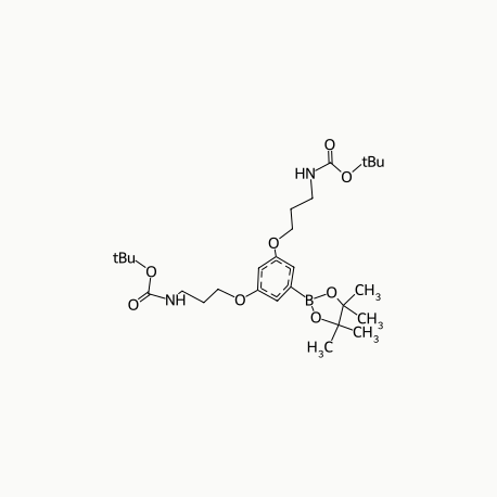 CC(C)(C)OC(=O)NCCCOc1cc(OCCCNC(=O)OC(C)(C)C)cc(B2OC(C)(C)C(C)(C)O2)c1